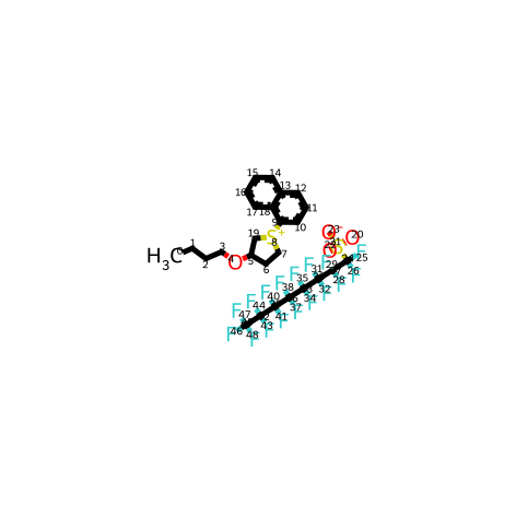 CCCCOC1CC[S+](c2cccc3ccccc23)C1.O=S(=O)([O-])C(F)(F)C(F)(F)C(F)(F)C(F)(F)C(F)(F)C(F)(F)C(F)(F)C(F)(F)F